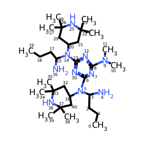 CCCC(N)N(c1nc(N(C)C)nc(N(C(N)CCC)C2CC(C)(C)NC(C)(C)C2)n1)C1CC(C)(C)NC(C)(C)C1